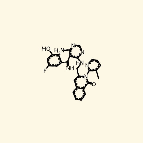 Cc1cccnc1-n1c(CNc2ncnc(N)c2C(=N)c2cc(O)cc(F)c2)cc2ccccc2c1=O